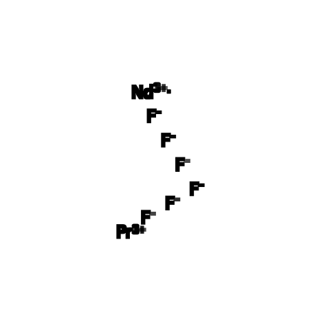 [F-].[F-].[F-].[F-].[F-].[F-].[Nd+3].[Pr+3]